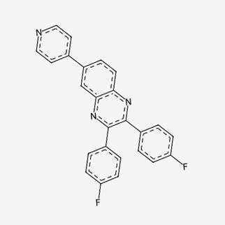 Fc1ccc(-c2nc3ccc(-c4ccncc4)cc3nc2-c2ccc(F)cc2)cc1